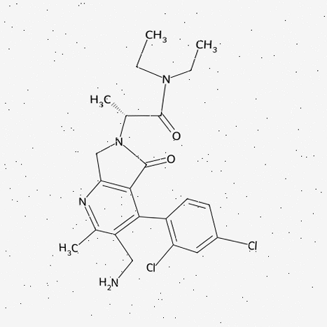 CCN(CC)C(=O)[C@@H](C)N1Cc2nc(C)c(CN)c(-c3ccc(Cl)cc3Cl)c2C1=O